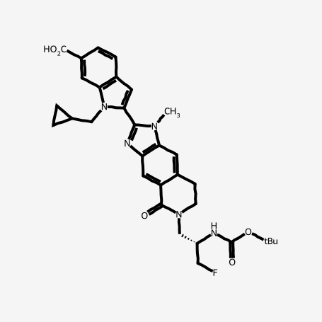 Cn1c(-c2cc3ccc(C(=O)O)cc3n2CC2CC2)nc2cc3c(cc21)CCN(C[C@@H](CF)NC(=O)OC(C)(C)C)C3=O